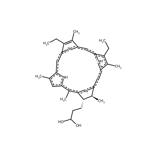 CCC1=C(C)c2cc3[nH]c(cc4nc(c(C)c5cc(C)c(cc1n2)[nH]5)[C@@H](CCC(O)O)[C@@H]4C)c(C)c3CC